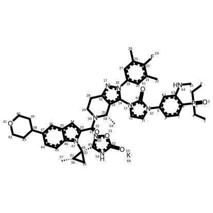 CCP(=O)(CC)c1ccc(-n2ccn(-c3c4c(nn3-c3cc(C)c(F)c(C)c3)CCN(C(=O)c3cc5cc(C6CCOCC6)ccc5n3[C@@]3(c5noc(=O)[nH]5)C[C@@H]3C)[C@H]4C)c2=O)cc1NC.[K]